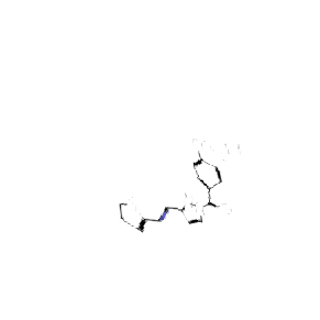 O=C(O)c1ccc(C(=O)n2ccc(/C=C/C3=CCCS3)n2)cc1